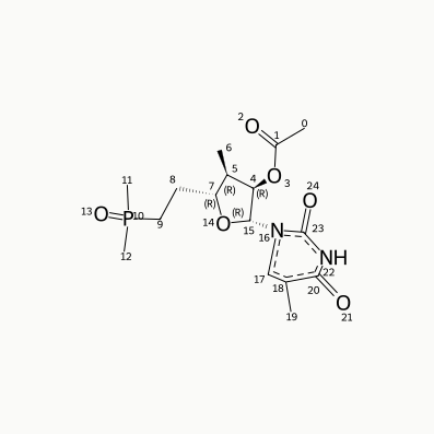 CC(=O)O[C@@H]1[C@H](C)[C@@H](CCP(C)(C)=O)O[C@H]1n1cc(C)c(=O)[nH]c1=O